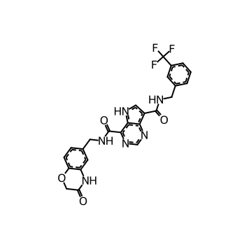 O=C1COc2ccc(CNC(=O)c3ncnc4c(C(=O)NCc5cccc(C(F)(F)F)c5)c[nH]c34)cc2N1